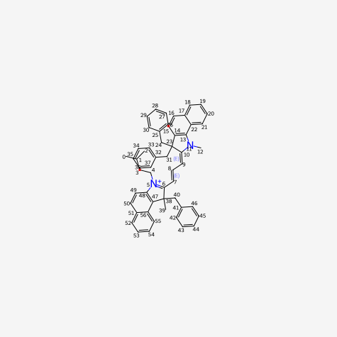 CC(C)CC[N+]1=C(/C=C/C=C2/N(C)c3c(ccc4ccccc34)C2(Cc2ccccc2)Cc2ccccc2)C(C)(Cc2ccccc2)c2c1ccc1ccccc21